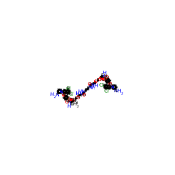 CC(C)(COCCOCCNC(=O)NCCCCNC(=O)NCCOCCOCC(C)(C)NS(=O)(=O)c1ccc(O[C@H]2c3cc(Cl)cc(Cl)c3C[C@@H]2N2CCC[C@@H](N)C2)cc1)NS(=O)(=O)c1ccc(O[C@H]2c3cc(Cl)cc(Cl)c3C[C@@H]2N2CCC[C@@H](N)C2)cc1